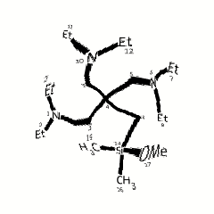 CCN(CC)CC(CN(CC)CC)(CN(CC)CC)C[Si](C)(C)OC